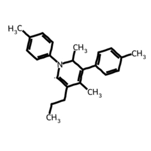 CCCC1=[C]N(c2ccc(C)cc2)C(C)C(c2ccc(C)cc2)=C1C